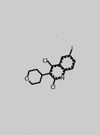 Clc1nc2ccc(I)cc2c(Cl)c1C1CCOCC1